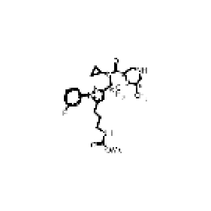 COC(=O)NCCCc1cc([C@@H](C)N(C(=O)[C@H]2CNC[C@@H](C)O2)C2CC2)nn1-c1cccc(F)c1